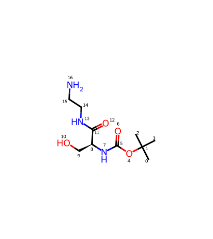 CC(C)(C)OC(=O)N[C@@H](CO)C(=O)NCCN